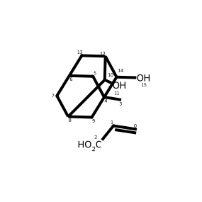 C=CC(=O)O.CC12CC3CC(C1)C(O)C(C3)C2O